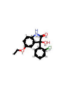 CCOc1ccc2c(c1)C(O)(c1ccccc1Cl)C(=O)N2